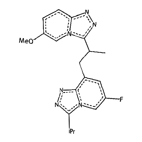 COc1ccc2nnc(C(C)Cc3cc(F)cn4c(C(C)C)nnc34)n2c1